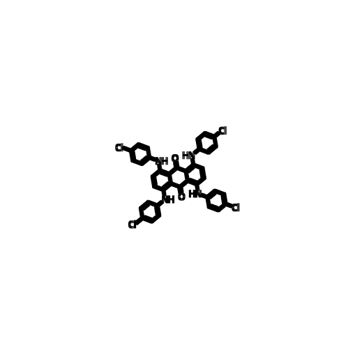 O=C1c2c(Nc3ccc(Cl)cc3)ccc(Nc3ccc(Cl)cc3)c2C(=O)c2c(Nc3ccc(Cl)cc3)ccc(Nc3ccc(Cl)cc3)c21